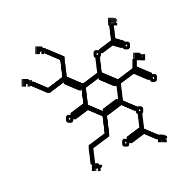 CCC(=O)OC1=C(CCC(C)C)C(=O)C(=C(CC(C)C)CC(C)C)C(OC(=O)CC)=C1C(=O)C(C)CC